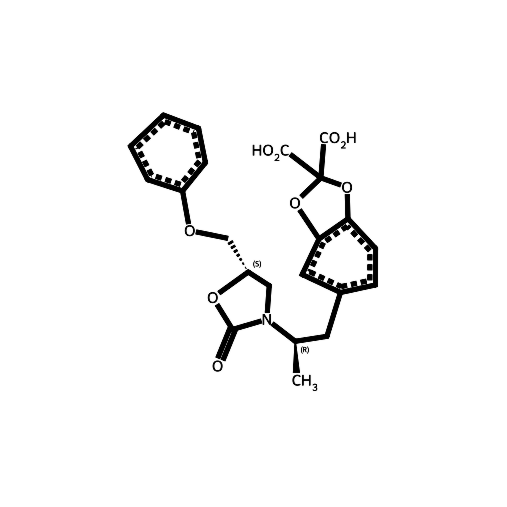 C[C@H](Cc1ccc2c(c1)OC(C(=O)O)(C(=O)O)O2)N1C[C@@H](COc2ccccc2)OC1=O